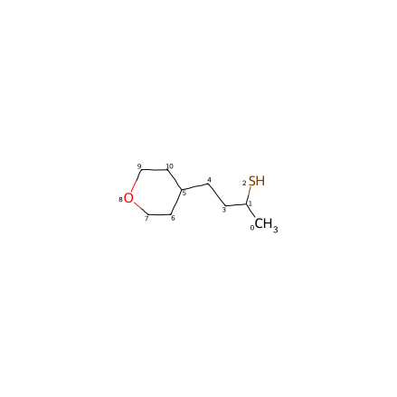 CC(S)CCC1CCOCC1